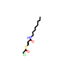 CCCCCCCCNC(=O)C=CSC(=O)CCl